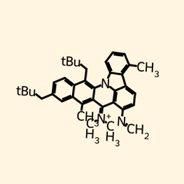 C=Nc1ccc2c3c(C)cccc3n3c4c(CC(C)(C)C)c5ccc(CC(C)(C)C)cc5c(C)c4c(=[N+](C)C)c1c23